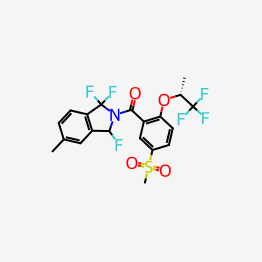 Cc1ccc2c(c1)C(F)N(C(=O)c1cc(S(C)(=O)=O)ccc1O[C@H](C)C(F)(F)F)C2(F)F